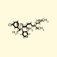 C=C(c1cccc(Cl)c1)N(/C(N)=C(N)/C=C\CN(CC)CCNC)c1ccncc1